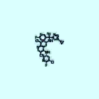 [2H][C@@](Nc1cc(Cl)c2ncc(C#N)c(Nc3cnc(F)c(Cl)c3)c2c1)(c1ccc(F)nc1)c1cn(C2CC2)nn1